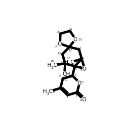 CC1=CC(=O)OC(C23OC2(C)CC2(CC3(C)C)OCCO2)C1